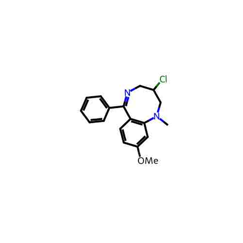 COc1ccc2c(c1)N(C)CC(Cl)CN=C2c1ccccc1